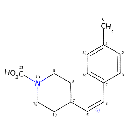 Cc1ccc(/C=C\C2CCN(C(=O)O)CC2)cc1